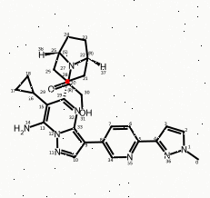 Cn1ccc(-c2ccc(-c3cnn4c(N)c(C5CC5)c([C@H]5C[C@H]6CC[C@@H](C5)N6C(=O)CO)nc34)cn2)n1